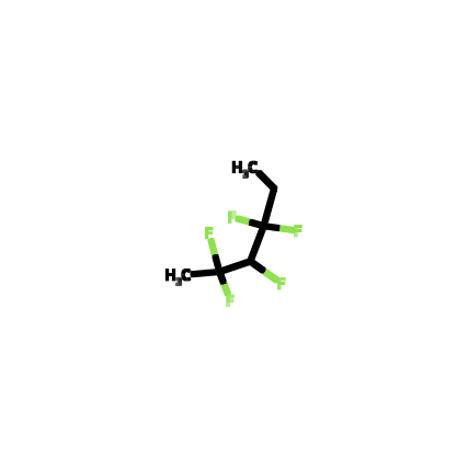 CCC(F)(F)C(F)C(C)(F)F